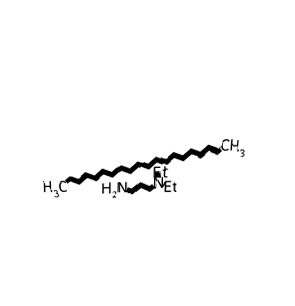 CCCCCCCCCCCCCCCCCCCC.CCN(CC)CCCN